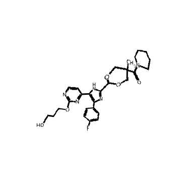 CC1(C(=O)N2CCCCC2)COC(c2nc(-c3ccc(F)cc3)c(-c3ccnc(OCCCO)n3)[nH]2)OC1